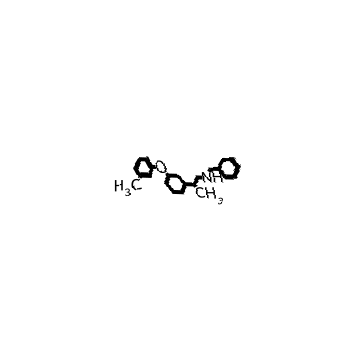 Cc1cccc(OC2CCCC(C(C)CNCC3CCCCC3)C2)c1